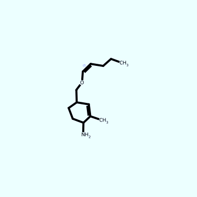 CCC/C=C\OCC1C=C(C)C(N)CC1